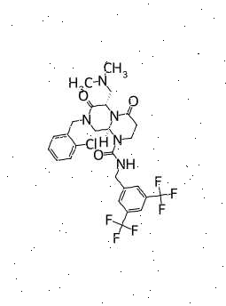 CN(C)C[C@H]1C(=O)N(Cc2ccccc2Cl)C[C@@H]2N(C(=O)NCc3cc(C(F)(F)F)cc(C(F)(F)F)c3)CCC(=O)N21